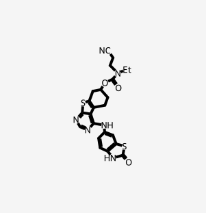 CCN(CCC#N)C(=O)OC1CCc2c(sc3ncnc(Nc4ccc5[nH]c(=O)sc5c4)c23)C1